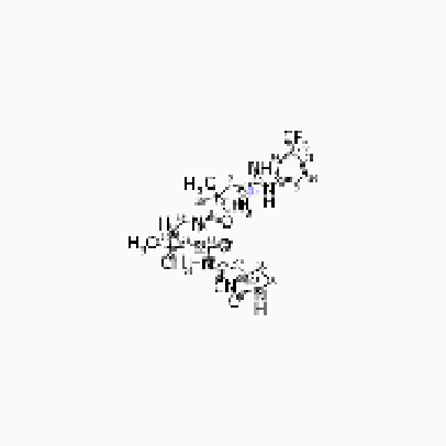 CC(C)(C/[SH]=C(\N)Nc1cccc(C(F)(F)F)c1)CC(=O)N1C[C@H]2C([C@H]1C(=O)N[C@H](C#N)C[C@@H]1CCNC1=O)C2(C)C